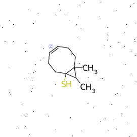 CC1C2(C)CC/C=C\CCC12S